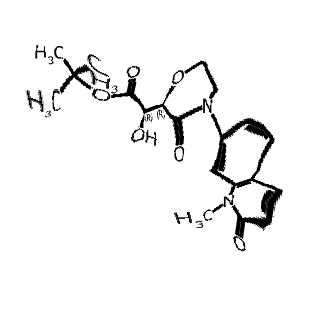 Cn1c(=O)ccc2ccc(N3CCO[C@H]([C@@H](O)C(=O)OC(C)(C)C)C3=O)cc21